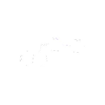 COc1ccccc1-n1c(C)c2c(c1C)CN(c1ccccc1)N=C2